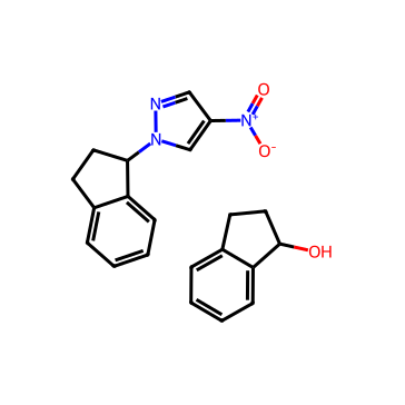 O=[N+]([O-])c1cnn(C2CCc3ccccc32)c1.OC1CCc2ccccc21